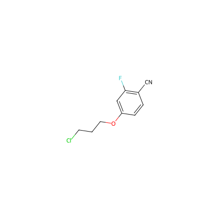 N#Cc1ccc(OCCCCl)cc1F